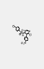 O=[N+]([O-])c1ccc(-c2c(Cl)ncnc2NS(=O)(=O)c2ccc(Cl)cc2)cc1